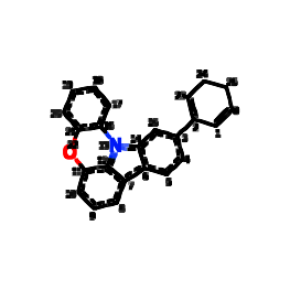 C1=CC(c2ccc3c4cccc5c4n(c3c2)-c2ccccc2O5)=CCC1